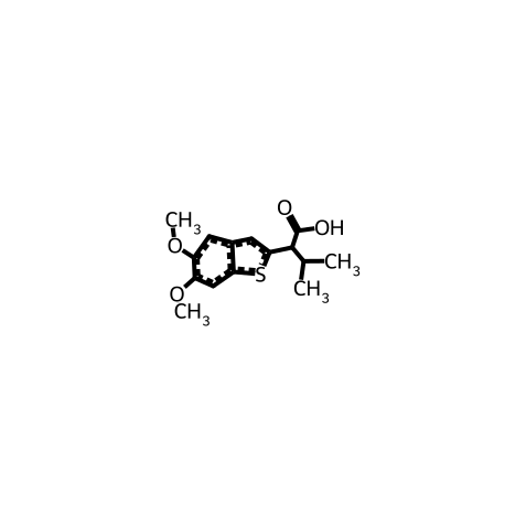 COc1cc2cc(C(C(=O)O)C(C)C)sc2cc1OC